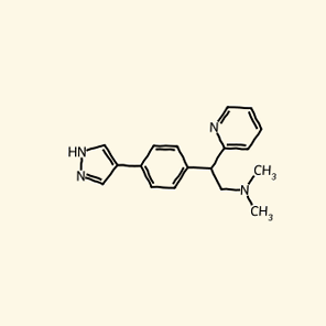 CN(C)CC(c1ccc(-c2cn[nH]c2)cc1)c1ccccn1